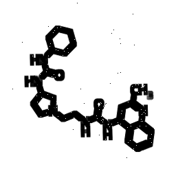 Cc1cc(NC(=O)NCCN2CCC(NC(=O)NC3CCCCC3)C2)c2ccccc2n1